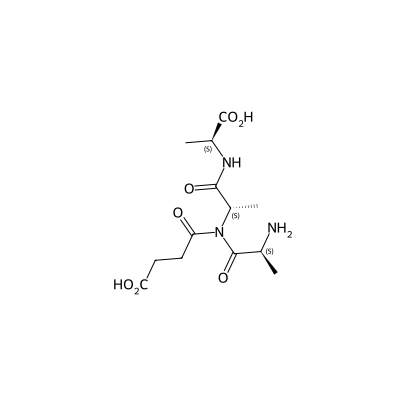 C[C@H](N)C(=O)N(C(=O)CCC(=O)O)[C@@H](C)C(=O)N[C@@H](C)C(=O)O